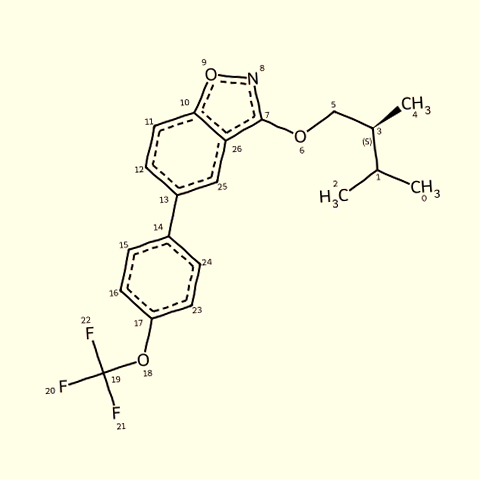 CC(C)[C@H](C)COc1noc2ccc(-c3ccc(OC(F)(F)F)cc3)cc12